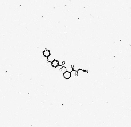 N#CCNC(=O)[C@H]1CCCC[C@@H]1CS(=O)(=O)c1ccc(Sc2ccncc2)cc1